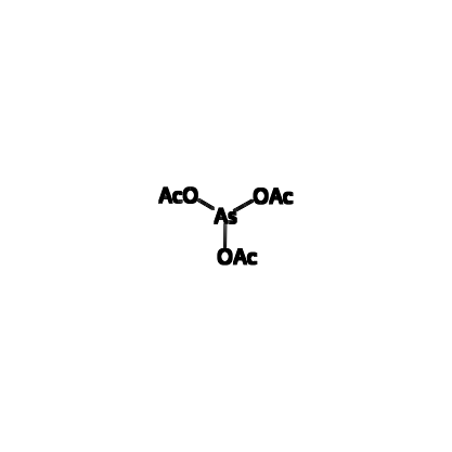 CC(=O)O[As](OC(C)=O)OC(C)=O